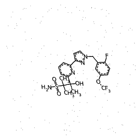 CC(O)(c1cccc(-c2ccn(Cc3cc(OC(F)(F)F)ccc3F)n2)n1)C(C)(C)S(N)(=O)=O